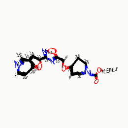 CC(C)(C)OC(=O)N1CCC(OCc2nc(-c3cc4cnccc4o3)no2)CC1